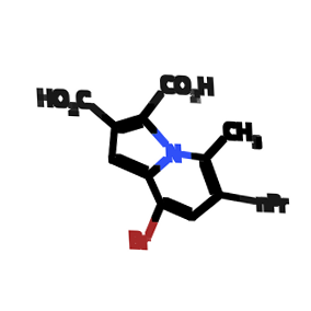 CCCc1cc(Br)c2cc(C(=O)O)c(C(=O)O)n2c1C